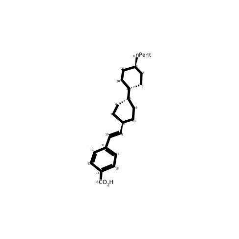 CCCCC[C@H]1CC[C@H]([C@H]2CC[C@H](C=Cc3ccc(C(=O)O)cc3)CC2)CC1